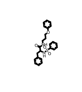 O=C(NCCCOc1ccccc1)C(Cc1cc[c]cc1)NS(=O)(=O)c1ccccc1